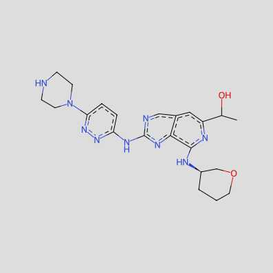 CC(O)c1cc2cnc(Nc3ccc(N4CCNCC4)nn3)nc2c(N[C@@H]2CCCOC2)n1